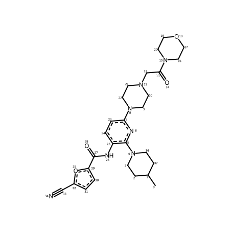 CC1CCN(c2nc(N3CCN(CC(=O)N4CCOCC4)CC3)ccc2NC(=O)c2ccc(C#N)o2)CC1